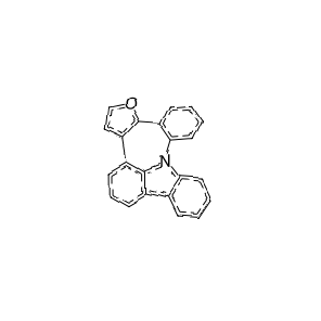 c1ccc2c(c1)-c1occc1-c1cccc3c4ccccc4n-2c13